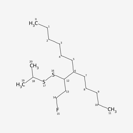 CCCCCCC(CCCCC)C(CCF)SSC(C)C